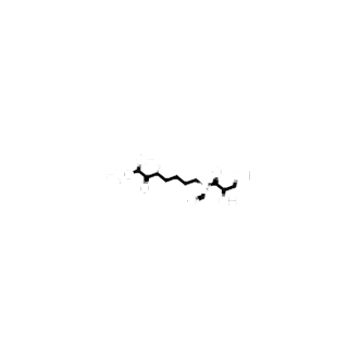 CCC(C)C(=O)N(C=O)CCCCCC(=O)C(C)C